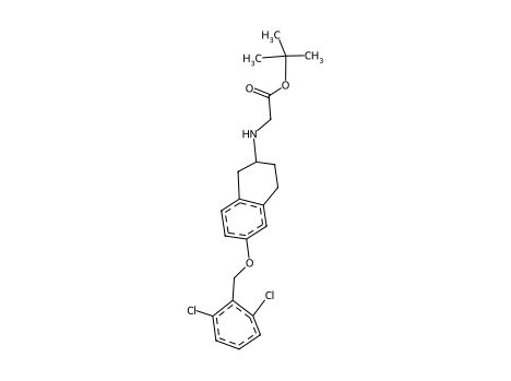 CC(C)(C)OC(=O)CNC1CCc2cc(OCc3c(Cl)cccc3Cl)ccc2C1